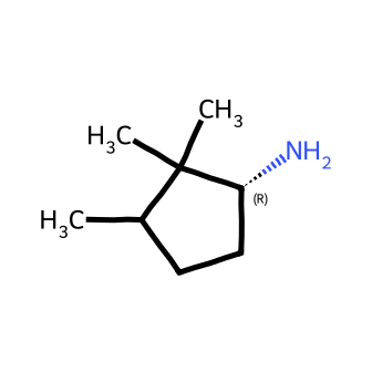 CC1CC[C@@H](N)C1(C)C